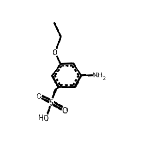 CCOc1cc(N)cc(S(=O)(=O)O)c1